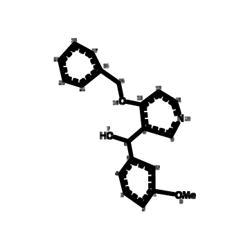 COc1cccc(C(O)c2cnccc2OCc2ccccc2)c1